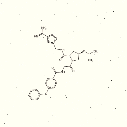 CC(C)O[C@@H]1C[C@@H](C(=O)NCc2cc(C(=N)N)cs2)N(C(=O)CNC(=O)c2ccc(Oc3ccccc3)cc2)C1